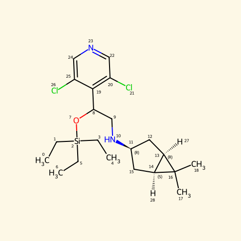 CC[Si](CC)(CC)OC(CN[C@H]1C[C@@H]2[C@H](C1)C2(C)C)c1c(Cl)cncc1Cl